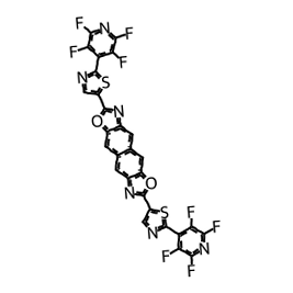 Fc1nc(F)c(F)c(-c2ncc(-c3nc4cc5cc6oc(-c7cnc(-c8c(F)c(F)nc(F)c8F)s7)nc6cc5cc4o3)s2)c1F